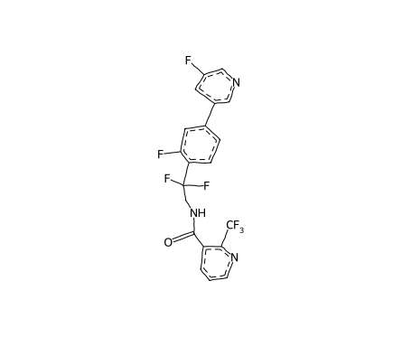 O=C(NCC(F)(F)c1ccc(-c2cncc(F)c2)cc1F)c1cccnc1C(F)(F)F